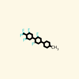 CC1CCC(C2CC(F)C(C3CC(F)C(C(F)F)C(F)C3)[C@@H](F)C2)CC1